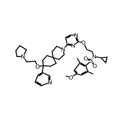 COc1cc(C)c(S(=O)(=O)N(CCOc2nccc(N3CCC4(CC3)CCC(OCCN3CCCC3)(c3cccnc3)CC4)n2)C2CC2)c(C)c1